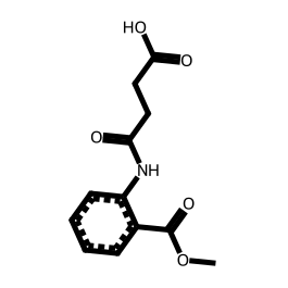 COC(=O)c1ccccc1NC(=O)CCC(=O)O